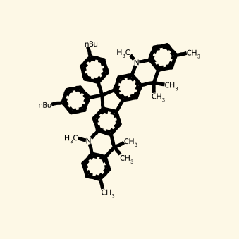 CCCCc1ccc(C2(c3ccc(CCCC)cc3)c3cc4c(cc3-c3cc5c(cc32)N(C)c2ccc(C)cc2C5(C)C)C(C)(C)c2cc(C)ccc2N4C)cc1